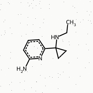 CCNC1(c2cccc(N)n2)CC1